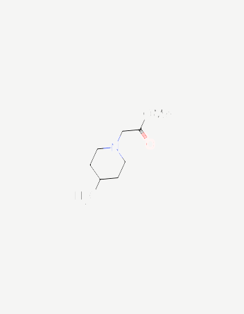 [CH2]C1CCN(CC(=O)OC)CC1